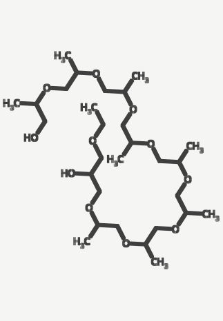 CCOCC(O)COC(C)COC(C)COC(C)COC(C)COC(C)COC(C)COC(C)COC(C)CO